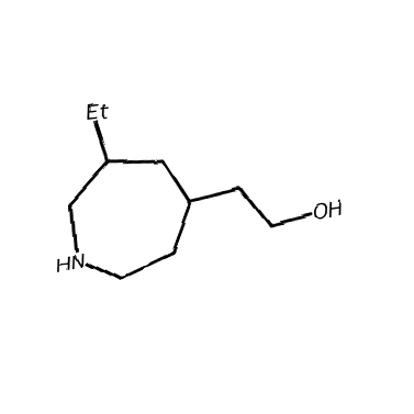 CCC1CNCCC(CCO)C1